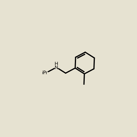 CC1=C(CNC(C)C)C=CCC1